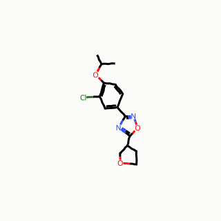 CC(C)Oc1ccc(-c2noc(C3CCOC3)n2)cc1Cl